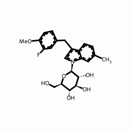 COc1ccc(Cc2cn([C@@H]3O[C@H](CO)[C@@H](O)[C@H](O)[C@H]3O)c3cc(C)ccc23)cc1F